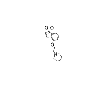 O=S1(=O)C=Cc2c(OCCN3CCCCC3)cccc21